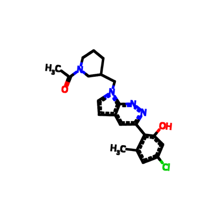 CC(=O)N1CCCC(Cn2ccc3cc(-c4c(C)cc(Cl)cc4O)nnc32)C1